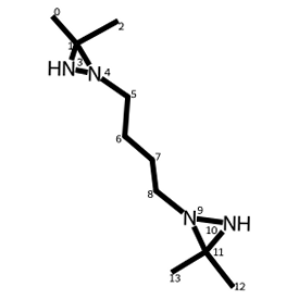 CC1(C)NN1CCCCN1NC1(C)C